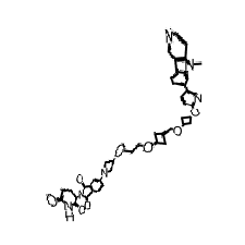 Cn1c2ccncc2c2ccc(-c3ccc(OC4CC(OCC5CC(OCCOC6CN(c7ccc8c(c7)C(=O)N(C7CCC(=O)NC7=O)C8=O)C6)C5)C4)nc3)cc21